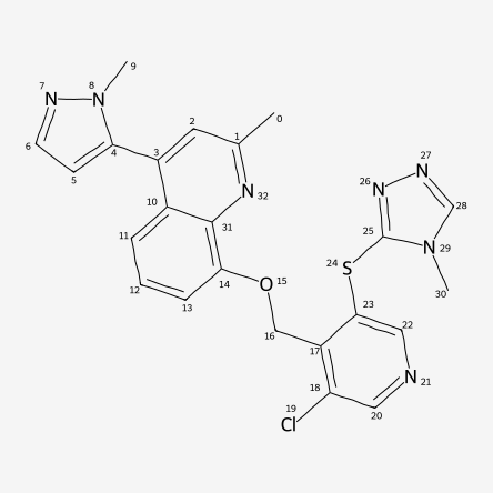 Cc1cc(-c2ccnn2C)c2cccc(OCc3c(Cl)cncc3Sc3nncn3C)c2n1